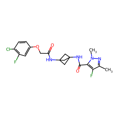 Cc1nn(C)c(C(=O)NC23CC(NC(=O)COc4ccc(Cl)c(F)c4)(C2)C3)c1F